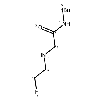 CC(C)(C)NC(=O)CNCCF